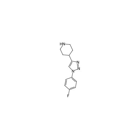 Fc1ccc(-n2cc(C3CCNCC3)nn2)cc1